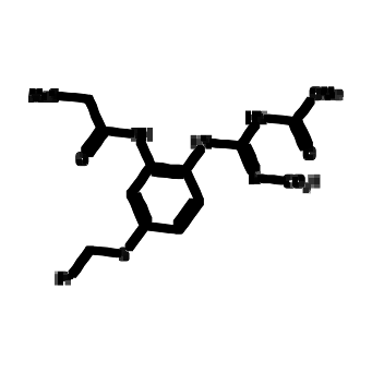 COC(=O)NC(=NC(=O)O)Nc1ccc(SCC(C)C)cc1NC(=O)CSC